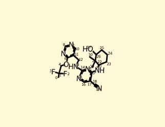 CC(F)(F)COc1ncncc1CNc1ncc(C#N)c(N[C@@H]2CCCC(O)C2(C)C)n1